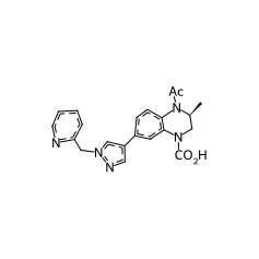 CC(=O)N1c2ccc(-c3cnn(Cc4ccccn4)c3)cc2N(C(=O)O)C[C@@H]1C